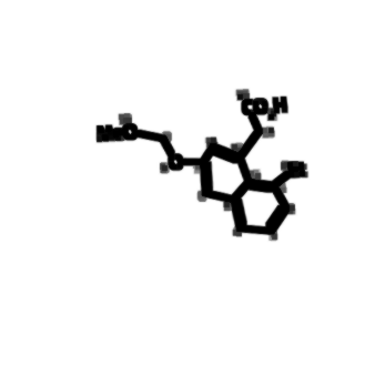 CCc1cccc2cc(OCOC)cc(CC(=O)O)c12